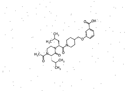 CC(=O)N1CCN([C@@H](CC(C)C)C(=O)N2CCC(COc3cccc(C(=O)O)c3)CC2)C(=O)[C@@H]1CC(C)C